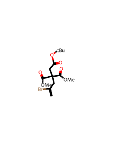 C=C(Br)CC(CC(=O)OC(C)(C)C)(C(=O)OC)C(=O)OC